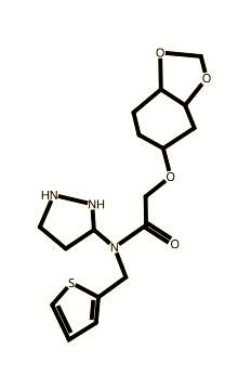 O=C(COC1CCC2OCOC2C1)N(Cc1cccs1)C1CCNN1